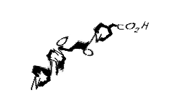 O=C(O)CC1CCN(C(=O)CCC(=O)N2CCN(c3ccncc3)CC2)CC1